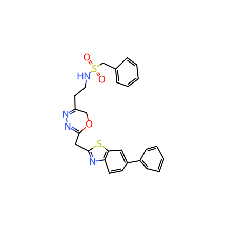 O=S(=O)(Cc1ccccc1)NCCC1=NN=C(Cc2nc3ccc(-c4ccccc4)cc3s2)OC1